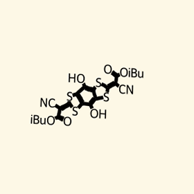 CC(C)COC(=O)C(C#N)=C1Sc2c(O)c3c(c(O)c2S1)SC(=C(C#N)C(=O)OCC(C)C)S3